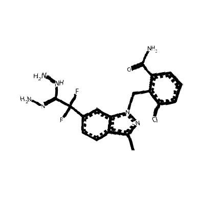 Cc1nn(Cc2c(Cl)cccc2C(N)=O)c2cc(C(F)(F)/C(=N/N)NN)ccc12